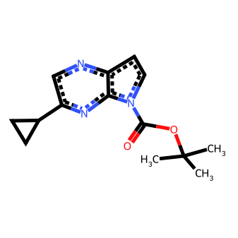 CC(C)(C)OC(=O)n1ccc2ncc(C3CC3)nc21